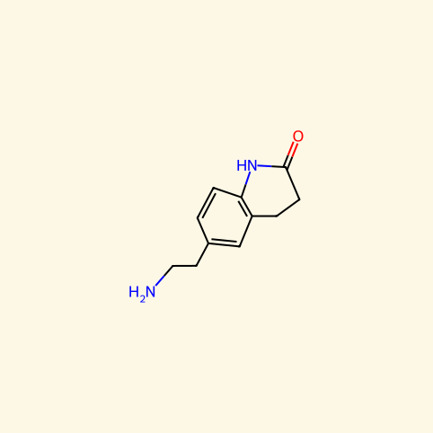 NCCc1ccc2c(c1)CCC(=O)N2